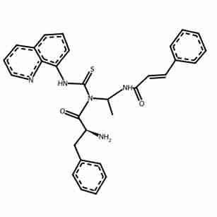 CC(NC(=O)/C=C/c1ccccc1)N(C(=O)[C@@H](N)Cc1ccccc1)C(=S)Nc1cccc2cccnc12